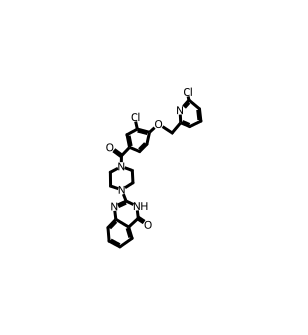 O=C(c1ccc(OCc2cccc(Cl)n2)c(Cl)c1)N1CCN(c2nc3ccccc3c(=O)[nH]2)CC1